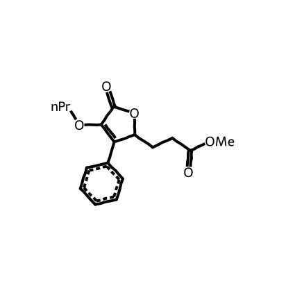 CCCOC1=C(c2ccccc2)C(CCC(=O)OC)OC1=O